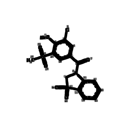 COc1c(Cl)cc(C(=O)N2CS(=O)(=O)c3ccccc32)cc1S(C)(=O)=O